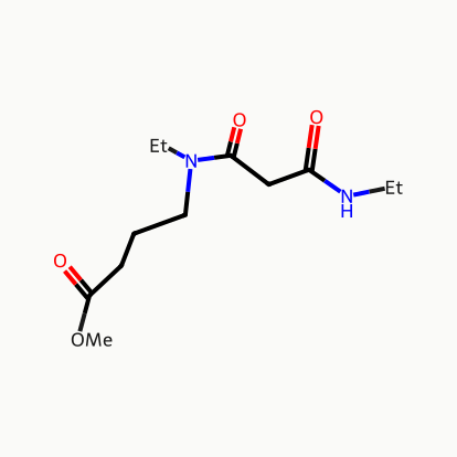 CCNC(=O)CC(=O)N(CC)CCCC(=O)OC